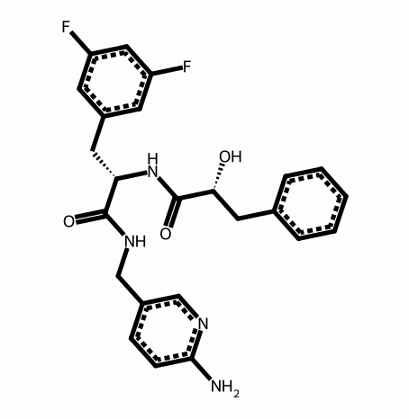 Nc1ccc(CNC(=O)[C@H](Cc2cc(F)cc(F)c2)NC(=O)[C@H](O)Cc2ccccc2)cn1